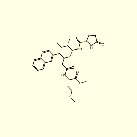 CC[C@H](C)[C@@H](CN(CC(=O)N[C@@H](CCSC)C(=O)OC)Cc1cnc2ccccc2c1)NC(=O)[C@@H]1CCC(=O)N1